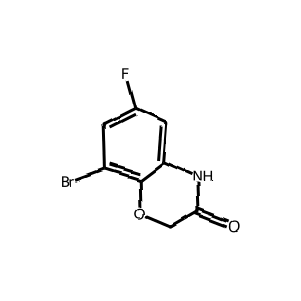 O=C1COc2c(Br)cc(F)cc2N1